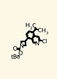 C=C(C)c1ccc(C2CN(C(=O)OC(C)(C)C)C2)c2cnc(Cl)cc12